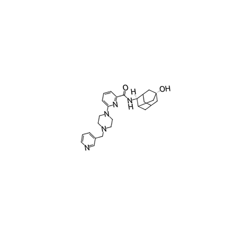 O=C(N[C@H]1C2CC3CC1C[C@](O)(C3)C2)c1cccc(N2CCN(Cc3cccnc3)CC2)n1